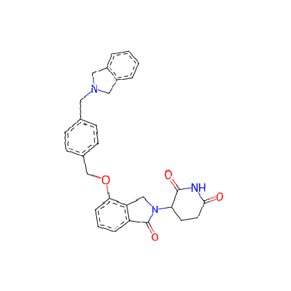 O=C1CCC(N2Cc3c(OCc4ccc(CN5Cc6ccccc6C5)cc4)cccc3C2=O)C(=O)N1